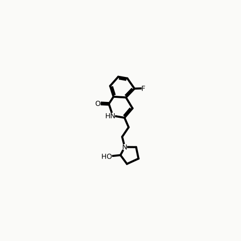 O=c1[nH]c(CCN2CCCC2O)cc2c(F)cccc12